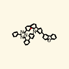 c1ccc(-c2nc(-c3ccccc3)nc(-c3ccccc3-c3ccc(-n4c5ccccc5c5ccc(-c6ccc7oc8ccccc8c7c6)cc54)cc3)n2)cc1